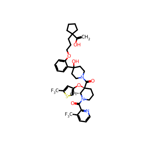 C=C(O)C1(CCCOc2ccccc2C2(O)CCN(C(=O)[C@]3(Oc4csc(C(F)(F)F)c4)CCCN(C(=O)c4ncccc4C(F)(F)F)[C@@H]3CCC)CC2)CCCC1